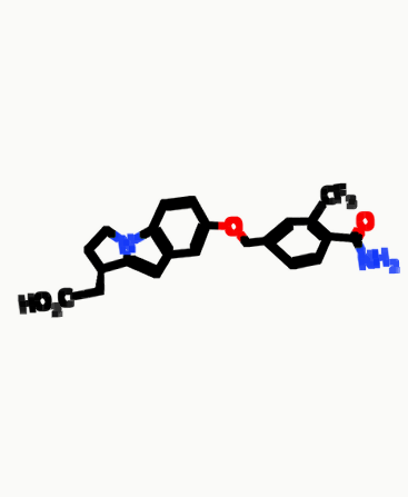 NC(=O)c1ccc(COc2ccc3c(c2)cc2n3CC[C@@H]2CC(=O)O)cc1C(F)(F)F